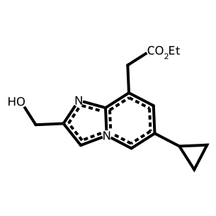 CCOC(=O)Cc1cc(C2CC2)cn2cc(CO)nc12